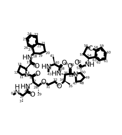 CN[C@@H](C)C(=O)N[C@H](C(=O)N1CCC[C@H]1C(=O)NC1CCCc2ccccc21)[C@@H](C)OCCO[C@H](C)[C@H](NC(=O)[C@H](C)NC)C(=O)N1CCC[C@H]1C(=O)N[C@@H]1CCCc2ccccc21